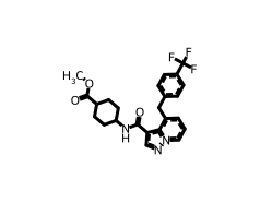 COC(=O)C1CCC(NC(=O)c2cnn3cccc(Cc4ccc(C(F)(F)F)cc4)c23)CC1